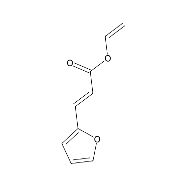 C=COC(=O)/C=C/c1ccco1